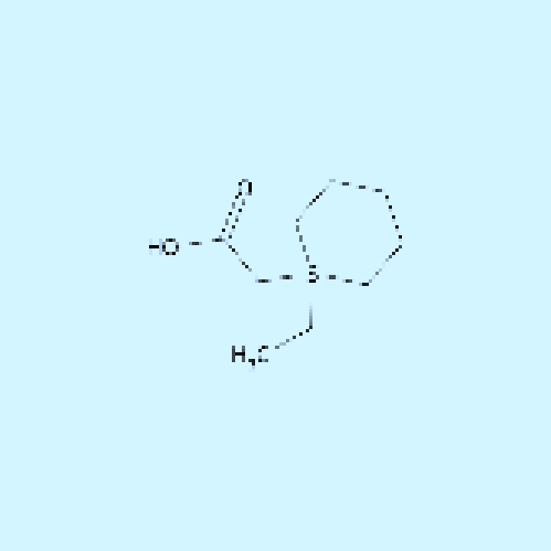 CCS1(CC(=O)O)CCCCC1